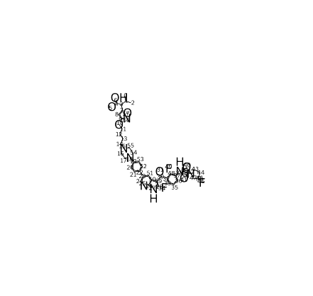 CC(C)C(C(=O)O)c1cc(OCCCCN2CCN(c3ccc(-c4cnc5[nH]cc(C(=O)c6c(F)ccc(NS(=O)(=O)N7CC[C@@H](F)C7)c6F)c5c4)cc3)CC2)no1